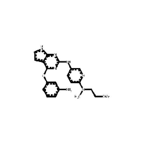 COCCN(C)c1ccc(Nc2nc(Oc3cccc(N)c3)c3cc[nH]c3n2)cn1